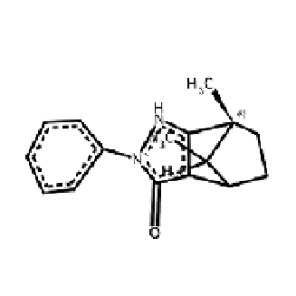 CC1(C)C2CC[C@@]1(C)c1[nH]n(-c3ccccc3)c(=O)c12